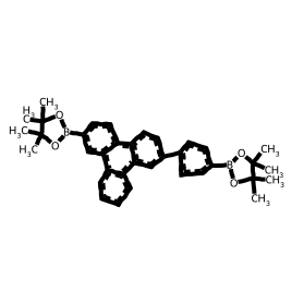 CC1(C)OB(c2ccc(-c3ccc4c5ccc(B6OC(C)(C)C(C)(C)O6)cc5c5ccccc5c4c3)cc2)OC1(C)C